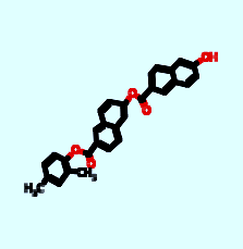 Cc1ccc(OC(=O)c2ccc3cc(OC(=O)c4ccc5cc(O)ccc5c4)ccc3c2)c(C)c1